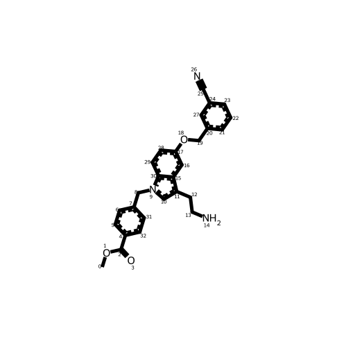 COC(=O)c1ccc(Cn2cc(CCN)c3cc(OCc4cccc(C#N)c4)ccc32)cc1